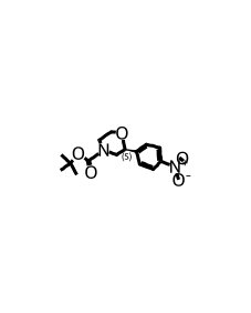 CC(C)(C)OC(=O)N1CCO[C@@H](c2ccc([N+](=O)[O-])cc2)C1